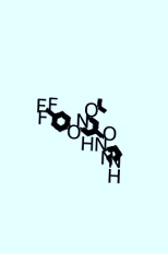 CC(C)Oc1cc(C(=O)Nc2cc[nH]n2)cc(Oc2ccc(C(F)(F)F)cc2)n1